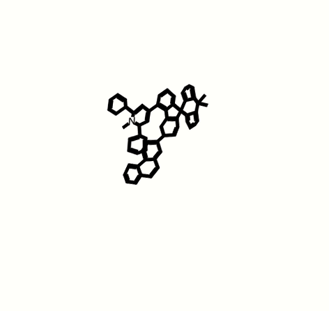 CN1C(C2C=CC=CC2)=CC(c2cccc3c2C2=C(C=CC(c4ccc5c(ccc6ccccc65)c4)C2)C32c3ccccc3C(C)(C)c3ccccc32)=CC1c1ccccc1